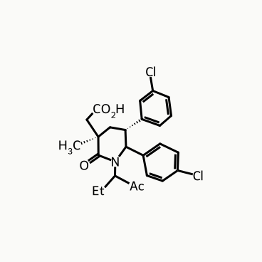 CCC(C(C)=O)N1C(=O)[C@@](C)(CC(=O)O)C[C@H](c2cccc(Cl)c2)C1c1ccc(Cl)cc1